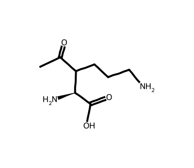 CC(=O)C(CCCN)[C@H](N)C(=O)O